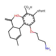 C=C(C)C1CCC(C)=CC1c1c(OCCCN)cc(CCCCC)c(C(=O)O)c1O